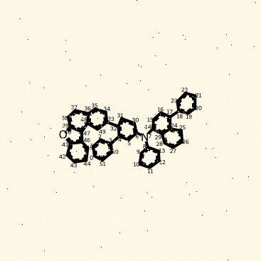 c1ccc(-c2cc(N(c3ccccc3)c3ccc(-c4ccccc4)c4ccccc34)ccc2-c2ccc3ccc4oc5ccccc5c4c3c2)cc1